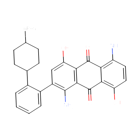 CCCCCC1CCC(c2ccccc2-c2cc(O)c3c(c2N)C(=O)c2c(O)ccc(N)c2C3=O)CC1